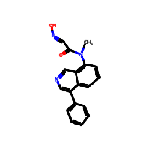 CN(C(=O)C=NO)c1cccc2c(-c3ccccc3)cncc12